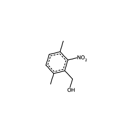 Cc1ccc(C)c([N+](=O)[O-])c1CO